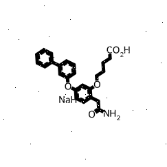 NC(=O)Cc1ccc(Oc2cccc(-c3ccccc3)c2)cc1OCCCCC(=O)O.[NaH]